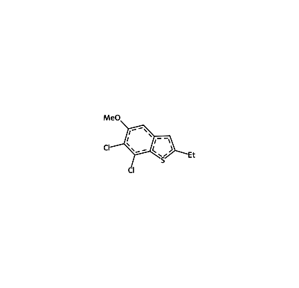 CCc1cc2cc(OC)c(Cl)c(Cl)c2s1